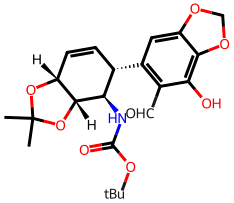 CC(C)(C)OC(=O)N[C@H]1[C@@H]2OC(C)(C)O[C@@H]2C=C[C@@H]1c1cc2c(c(O)c1C=O)OCO2